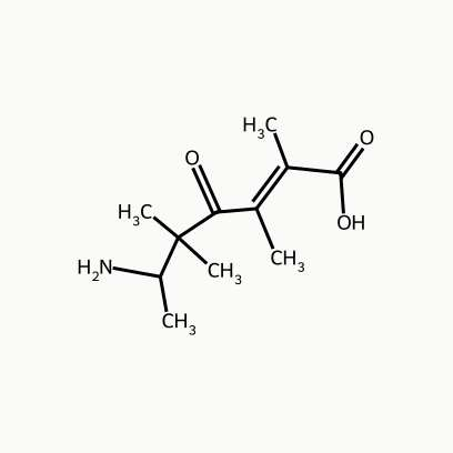 CC(C(=O)O)=C(C)C(=O)C(C)(C)C(C)N